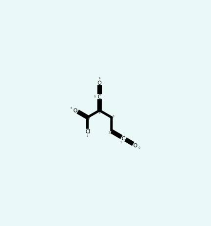 O=C=CCC(=C=O)C(=O)Cl